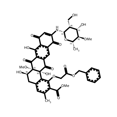 COC(=O)c1c(C)cc2c(c1OCC(=O)OCc1ccccc1)[C@]1(O)C(=O)c3cc4c(c(O)c3C(=O)[C@]1(OC)[C@H](O)C2)C(=O)C=C(N[C@H]1O[C@@H](C)[C@H](OC)[C@@H](O)[C@H]1CO)C4=O